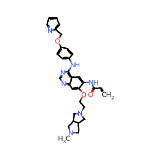 C=CC(=O)Nc1cc2c(Nc3ccc(OCc4ccccn4)cc3)ncnc2cc1OCCN1CC2CN(C)CC2C1